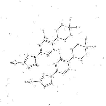 CCOC(=O)c1cnn(-c2cnc(C3CCC(F)(F)CC3)c(F)c2)c1.O=C(O)c1cnn(-c2cnc(C3CCC(F)(F)CC3)c(F)c2)c1